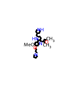 COc1cc2c3c(c(-c4cc(C)oc4C)nc2cc1OCCCN1CCCC1)CCC(CC1CCNCC1)N3